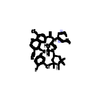 C=N/C=C(\C=C/C)[C@H](Nc1cc(Cl)c2ncc(C#N)c(Nc3ccc(F)c(Cl)c3)c2c1)C1=CN(C2CC(C)(C)NC(C)(C)C2)NN1